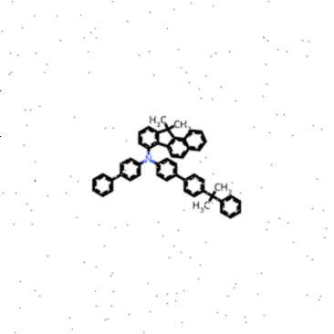 CC(C)(c1ccccc1)c1ccc(-c2ccc(N(c3ccc(-c4ccccc4)cc3)c3cccc4c3-c3ccc5ccccc5c3C4(C)C)cc2)cc1